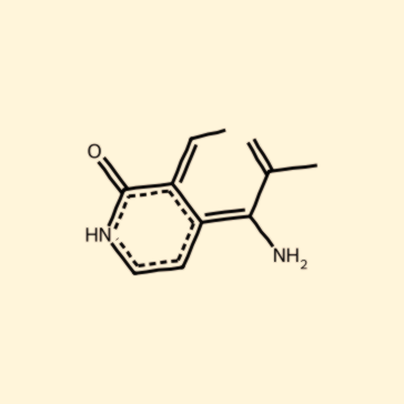 C=C(C)/C(N)=c1/cc[nH]c(=O)/c1=C/C